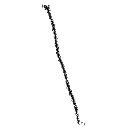 CCCCCCCCCCCCOCCOCCOCCOCCOCCOCCOCCOCCOCCOCCOCCOCCOCCOCCOCCOCCOCCOCCOCCOCCOCCOCCOCCOCCOCCOCCOCCOCCOCCOCCOS(=O)(=O)O